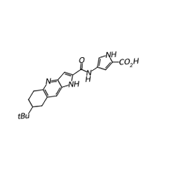 CC(C)(C)C1CCc2nc3cc(C(=O)Nc4c[nH]c(C(=O)O)c4)[nH]c3cc2C1